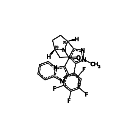 Cn1nc2c(c1-c1cc(F)c(F)c(F)c1)C[C@@H]1CC[C@H]2N1C(=O)c1c(C(F)F)nc2ccccn12